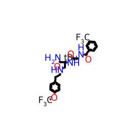 CC(C)(C)C(CNCCc1ccc(OC(F)(F)F)cc1)(NC(=O)CNC(=O)c1cccc(C(F)(F)F)c1)C(N)=O